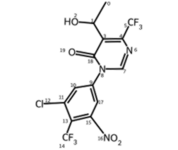 CC(O)c1c(C(F)(F)F)ncn(-c2cc(Cl)c(C(F)(F)F)c([N+](=O)[O-])c2)c1=O